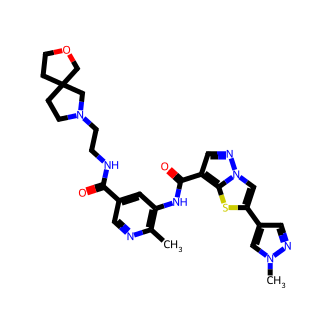 Cc1ncc(C(=O)NCCN2CCC3(CCOC3)C2)cc1NC(=O)c1cnn2cc(-c3cnn(C)c3)sc12